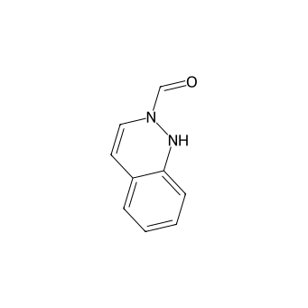 O=CN1C=Cc2ccccc2N1